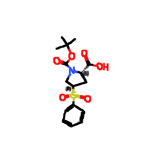 CC(C)(C)OC(=O)N1C[C@H](S(=O)(=O)c2ccccc2)C[C@H]1C(=O)O